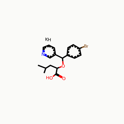 CC(C)CC(OC(c1ccc(Br)cc1)c1cccnc1)C(=O)O.[KH]